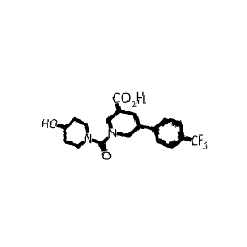 O=C(O)C1CC(c2ccc(C(F)(F)F)cc2)CN(C(=O)N2CCC(O)CC2)C1